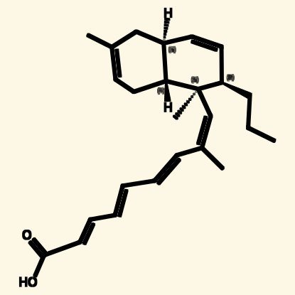 CCC[C@@H]1C=C[C@@H]2CC(C)=CC[C@H]2[C@]1(C)C=C(C)C=CC=CC=CC(=O)O